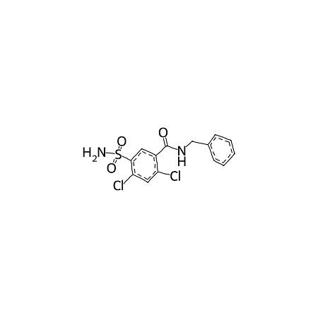 NS(=O)(=O)c1cc(C(=O)NCc2ccccc2)c(Cl)cc1Cl